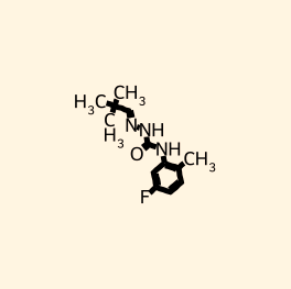 Cc1ccc(F)cc1NC(=O)N/N=C/C(C)(C)C